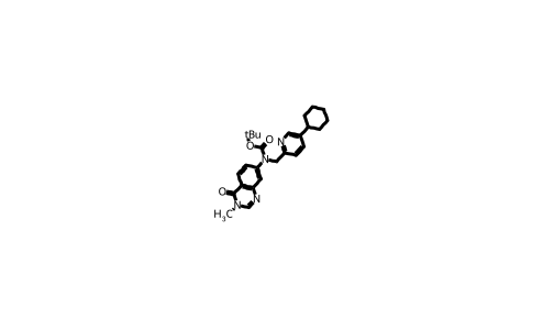 Cn1cnc2cc(N(Cc3ccc(C4CCCCC4)cn3)C(=O)OC(C)(C)C)ccc2c1=O